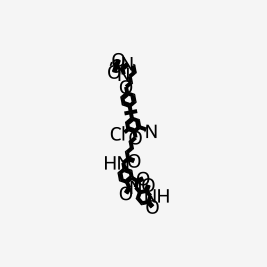 CC(C)(c1ccc(OCc2ccnc(S(C)(=O)=O)n2)cc1)c1cc(Cl)c(OCCCC(=O)Nc2ccc3c(c2)C(=O)N(C2CCC(=O)NC2=O)C3=O)c(C#N)c1